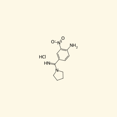 Cl.N=C(c1ccc(N)c([N+](=O)[O-])c1)N1CCCC1